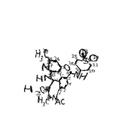 CC(=O)N1c2ccc(C(=O)NC3CCS(=O)(=O)CC3)cc2C(Nc2cccc(C)n2)[C@@H](C)[C@@H]1C